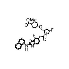 COC(=O)[C@H]1CC[C@H](OC[C@@H]2C[C@H](F)CN2C(=O)Cc2ccc3nc(Nc4cccc5ccccc45)oc3c2F)CC1